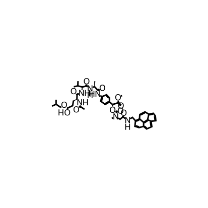 COC(=O)C(OC(=O)N(C)CC(=O)NCc1ccc2ccc3cccc4ccc1c2c34)c1ccc(NC(=O)[C@H](C)NC(=O)[C@@H](NC(=O)[C@H](CCC(O)OCC(C)C)NC(C)=O)C(C)C)cc1